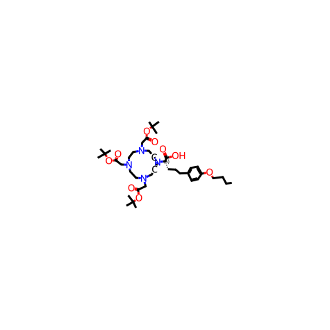 CCCCOc1ccc(CCC[C@@H](C(=O)O)N2CCN(CC(=O)OC(C)(C)C)CCN(CC(=O)OC(C)(C)C)CCN(CC(=O)OC(C)(C)C)CC2)cc1